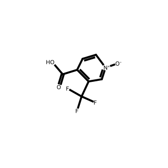 O=C(O)c1cc[n+]([O-])cc1C(F)(F)F